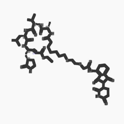 CCOC(=O)/C=C/[C@H](C[C@@H]1CCNC1=O)NC(=O)[C@H](CC(C)C)NC(=O)[C@@H](NC(=O)[C@H](C)NC(=O)CCCCCCOCCOCC(=O)Nc1cccc2c1C(=O)C(C1CCC(=O)NC1=O)C2=O)C(C)C